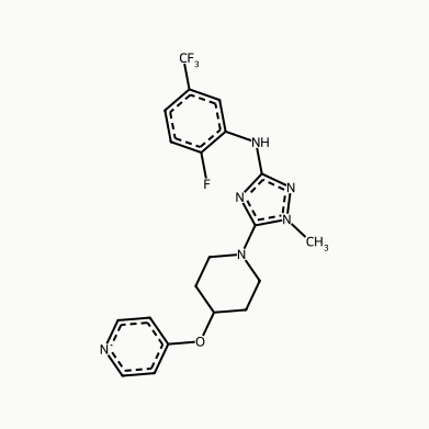 Cn1nc(Nc2cc(C(F)(F)F)ccc2F)nc1N1CCC(Oc2ccncc2)CC1